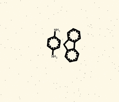 Nc1ccc(N)cc1.c1ccc2c(c1)Cc1ccccc1-2